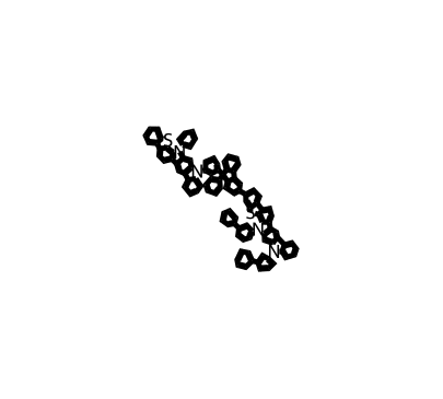 c1ccc(-c2cccc(-n3c4ccccc4c4cc5c6ccc7c8ccc(-c9ccc%10c(c9)-c9ccccc9C%10(c9ccccc9)c9cccc(-n%10c%11ccccc%11c%11cc%12c%13ccc%14c%15ccccc%15sc%14c%13n(-c%13ccccc%13)c%12cc%11%10)c9)cc8sc7c6n(-c6cccc(-c7ccccc7)c6)c5cc43)c2)cc1